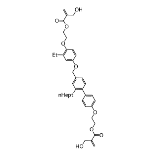 C=C(CO)C(=O)OCCOc1ccc(-c2ccc(COc3ccc(OCCOC(=O)C(=C)CO)c(CC)c3)cc2CCCCCCC)cc1